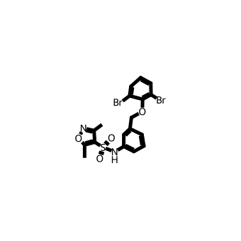 Cc1noc(C)c1S(=O)(=O)Nc1cccc(COc2c(Br)cccc2Br)c1